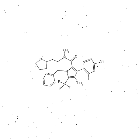 Cc1c(-c2ccc(Cl)cc2F)c(C(=O)N(C)CCC2CCCO2)n(Cc2ccccc2)c1C(F)(F)F